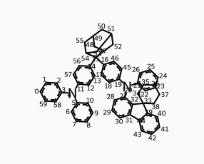 c1ccc(N(c2ccccc2)c2ccc(C3(c4ccc(N(c5ccccc5)c5cccc6c5C5(CCCCC5)c5ccccc5-6)cc4)C4CC5CC(C4)CC3C5)cc2)cc1